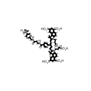 CC1(C)C(=CC=C(/C=C/C2N(CCCS(=O)(=O)O)c3ccc4c(S(=O)(=O)O)cc(S(=O)(=O)O)cc4c3C2(C)C)c2ccc(C(=O)NCCC(=O)NCc3ncc(S(N)(=O)=O)cn3)cn2)N(CCCS(=O)(=O)O)c2ccc3c(S(=O)(=O)O)cc(S(=O)(=O)O)cc3c21